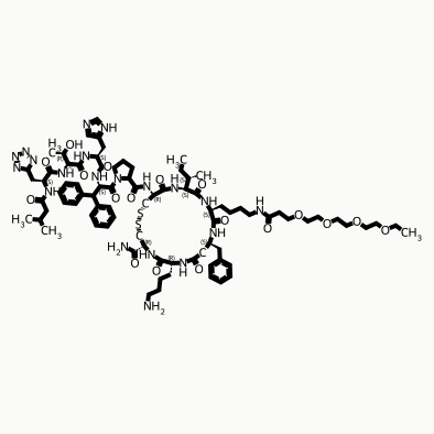 CCOCCOCCOCCOCCC(=O)NCCCC[C@@H]1NC(=O)[C@H]([C@@H](C)CC)NC(=O)[C@@H](NC(=O)C2CCCN2C(=O)[C@@H](NC(=O)[C@H](Cc2cnc[nH]2)NC(=O)[C@@H](NC(=O)[C@H](CC2N=NN=N2)NC(=O)CC(C)C)[C@@H](C)O)C(c2ccccc2)c2ccccc2)CSSC[C@@H](C(N)=O)NC(=O)[C@@H](CCCCN)NC(=O)C[C@H](Cc2ccccc2)NC1=O